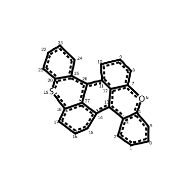 c1ccc2c(c1)oc1cccc3c1c2c1cccc2sc4ccccc4c3c21